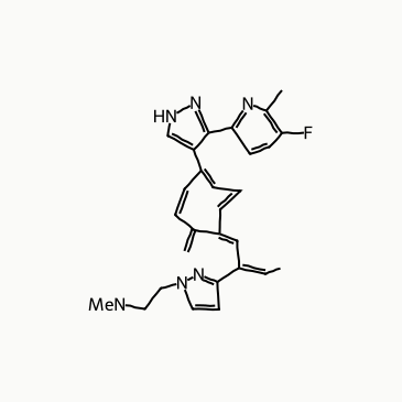 C=C1\C=C/C(c2c[nH]nc2-c2ccc(F)c(C)n2)=C/C=C/C1=C/C(=C\C)c1ccn(CCNC)n1